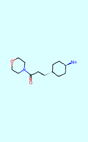 [NH][C@H]1CC[C@H](CCC(=O)N2CCOCC2)CC1